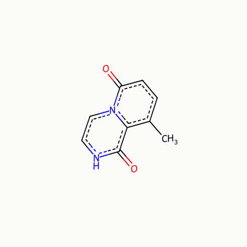 Cc1ccc(=O)n2cc[nH]c(=O)c12